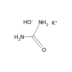 NC(N)=O.[K+].[OH-]